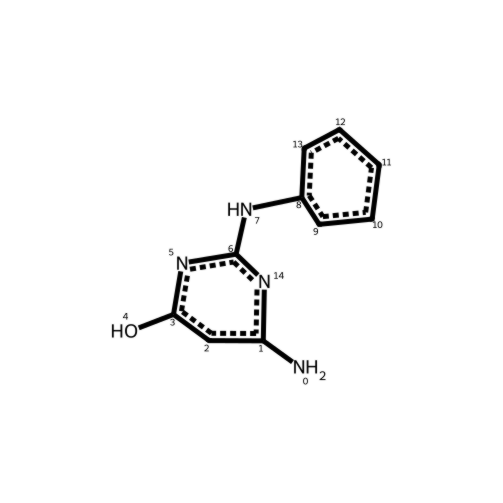 Nc1cc(O)nc(Nc2ccccc2)n1